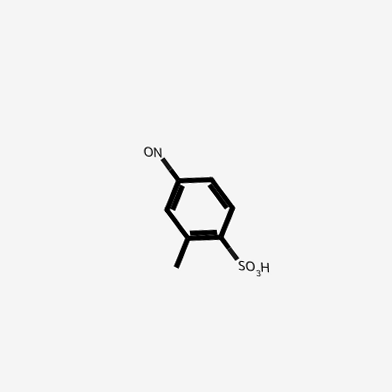 Cc1cc(N=O)ccc1S(=O)(=O)O